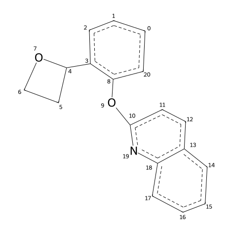 c1ccc(C2CCO2)c(Oc2ccc3ccccc3n2)c1